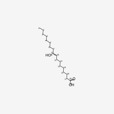 CCCCCCCCC(O)=CCCCCCCCC(=O)O